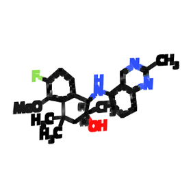 COc1c(F)ccc2c1C(C)(C)C[C@](O)(C(F)(F)F)[C@@H]2Nc1cccc2nc(C)ncc12